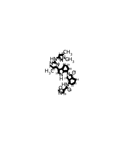 Cc1cnc(Nc2cc(C)n(C)n2)nc1-c1c[nH]c2c(N3Cc4c(NC(=O)c5cnco5)cccc4C3=O)cccc12